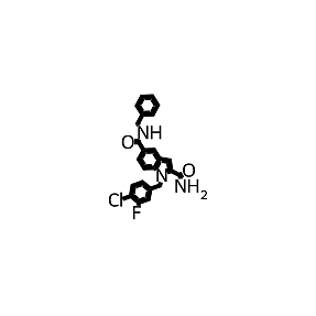 NC(=O)c1cc2cc(C(=O)NCc3ccccc3)ccc2n1Cc1ccc(Cl)c(F)c1